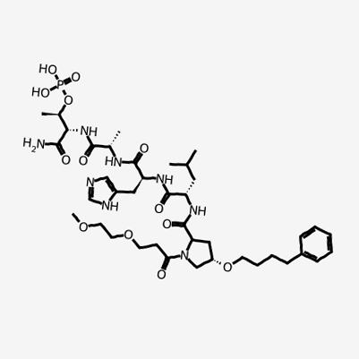 COCCOCCC(=O)N1C[C@@H](OCCCCc2ccccc2)CC1C(=O)N[C@@H](CC(C)C)C(=O)N[C@@H](Cc1cnc[nH]1)C(=O)N[C@@H](C)C(=O)N[C@H](C(N)=O)[C@@H](C)OP(=O)(O)O